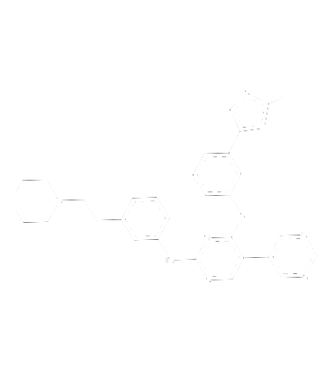 Cc1ncc(-c2cccc(Nc3nc(Nc4cccc(CCN5CCOCC5)c4)ncc3-c3cncnc3)c2)s1